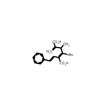 C=C(C(=O)O)C(C)C(CCCC)=C(C=Cc1ccccc1)C(=O)O